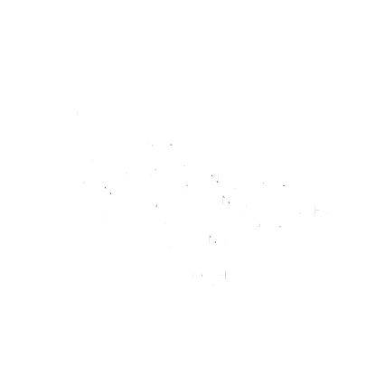 O=C(O)c1cc(C2CCN(CC3CCOCC3)CC2)c2c(C3CCC3)nn(-c3ccc(F)cc3)c2n1